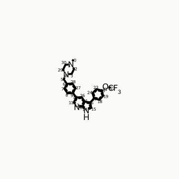 CN1CCN(Cc2ccc(-c3cnc4[nH]cc(-c5ccc(OC(F)(F)F)cc5)c4c3)cc2)CC1